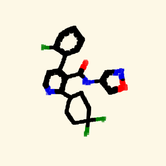 O=C(Nc1cnoc1)c1c(-c2ccccc2F)ccnc1C1CCC(F)(F)CC1